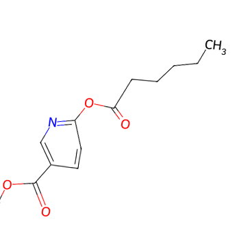 CCCCCC(=O)Oc1ccc(C(=O)OC)cn1